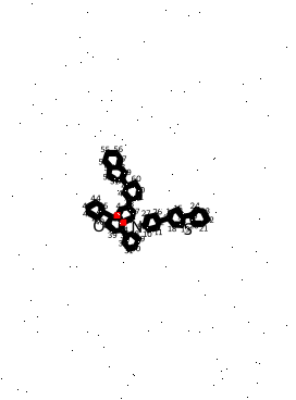 c1cc(-c2cccc(N(c3ccc(-c4ccc5c(c4)sc4ccccc45)cc3)c3ccccc3-c3ccc4c(c3)oc3ccccc34)c2)cc(-c2ccc3ccccc3c2)c1